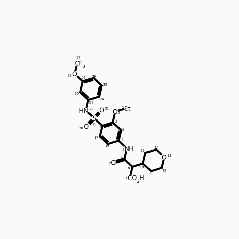 CCOc1cc(NC(=O)C(C(=O)O)C2CCOCC2)ccc1S(=O)(=O)Nc1cccc(OC(F)(F)F)c1